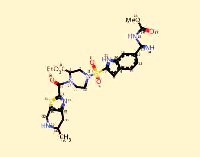 CCOC(=O)C1CN(S(=O)(=O)c2cc3ccc(C(=N)NC(=O)OC)cc3[nH]2)CCN1C(=O)c1nc2c(s1)CNC(C)C2